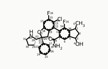 CC1CC(O)c2cc(C(N)=O)c(-c3c(Cl)c(F)cc4c3C[C@](c3ccccc3)([C@@H]3CCCN3)O4)c(F)c21